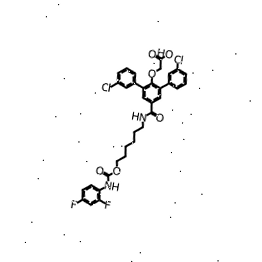 O=C(O)COc1c(-c2cccc(Cl)c2)cc(C(=O)NCCCCCCOC(=O)Nc2ccc(F)cc2F)cc1-c1cccc(Cl)c1